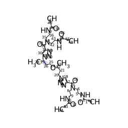 C#CC(=O)NCCN(CCNC(=O)C#C)C(=O)c1cn(CCC(C)OC/C=C(/C)n2cc(C(=O)N(CCNC(=O)C#C)CCNC(=O)C#C)nn2)nn1